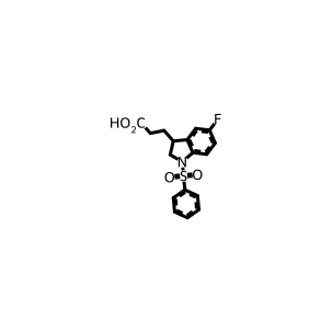 O=C(O)CCC1CN(S(=O)(=O)c2ccccc2)c2ccc(F)cc21